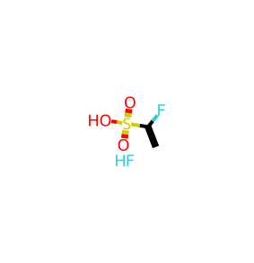 C=C(F)S(=O)(=O)O.F